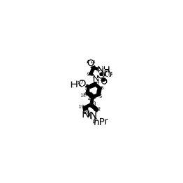 CCCn1cc(-c2ccc(N3CC(=O)NS3(=O)=O)c(O)c2)cn1